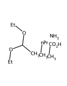 CC(=O)O.CCCC.CCOC(C)OCC.N